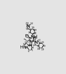 C[C@H](c1c[nH]c2ccccc12)[C@@H](NC(=O)N1Cc2ccccc2C1)C(=O)Nc1cccc(CN(C)C)c1